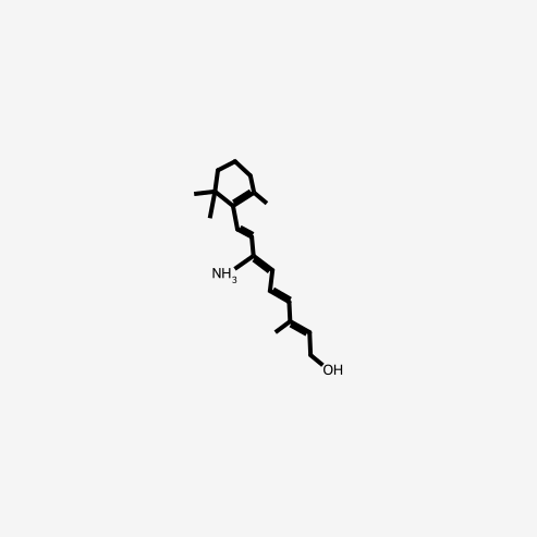 CC1=C(/C=C/C(C)=C/C=C/C(C)=C/CO)C(C)(C)CCC1.N